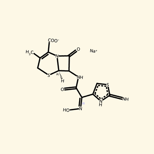 CC1=C(C(=O)[O-])N2C(=O)C(NC(=O)/C(=N\O)c3csc(=N)[nH]3)[C@H]2SC1.[Na+]